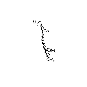 C=CCOCC(O)CSCCOCCSCC(O)COCC=C